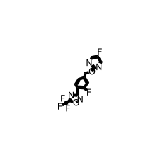 Fc1cnc(OCc2ccc(-c3noc(C(F)(F)F)n3)c(F)c2)nc1